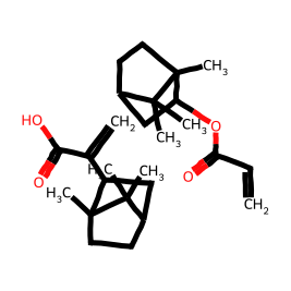 C=C(C(=O)O)C1CC2CCC1(C)C2(C)C.C=CC(=O)OC1CC2CCC1(C)C2(C)C